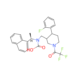 C[C@H](c1cccc2ccccc12)N(CC1CN(C(=O)C(F)(F)F)CCC1c1ccccc1F)C(=O)O